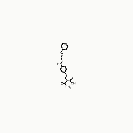 CC(=O)C(CCc1ccc(NCCOCc2ccccc2)cc1)C(=O)O